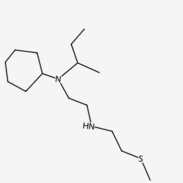 CCC(C)N(CCNCCSC)C1CCCCC1